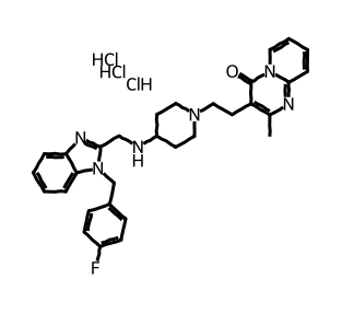 Cc1nc2ccccn2c(=O)c1CCN1CCC(NCc2nc3ccccc3n2Cc2ccc(F)cc2)CC1.Cl.Cl.Cl